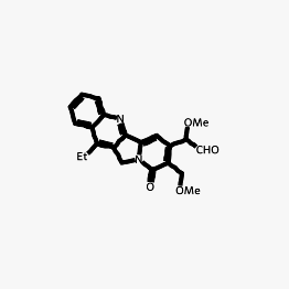 CCc1c2c(nc3ccccc13)-c1cc(C(C=O)OC)c(COC)c(=O)n1C2